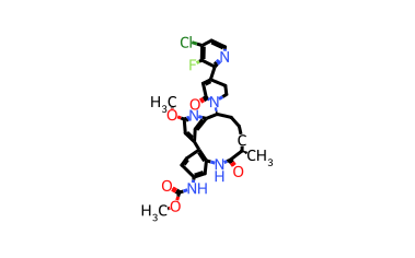 COC(=O)Nc1ccc2c(c1)NC(=O)[C@H](C)CCC[C@H](N1CCC(c3nccc(Cl)c3F)=CC1=O)c1cc-2cc(OC)n1